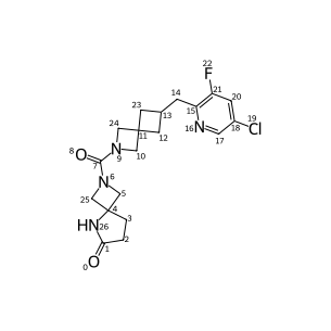 O=C1CCC2(CN(C(=O)N3CC4(CC(Cc5ncc(Cl)cc5F)C4)C3)C2)N1